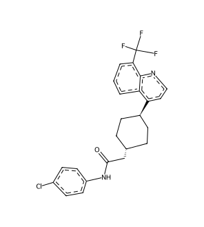 O=C(C[C@H]1CC[C@H](c2ccnc3c(C(F)(F)F)cccc32)CC1)Nc1ccc(Cl)cc1